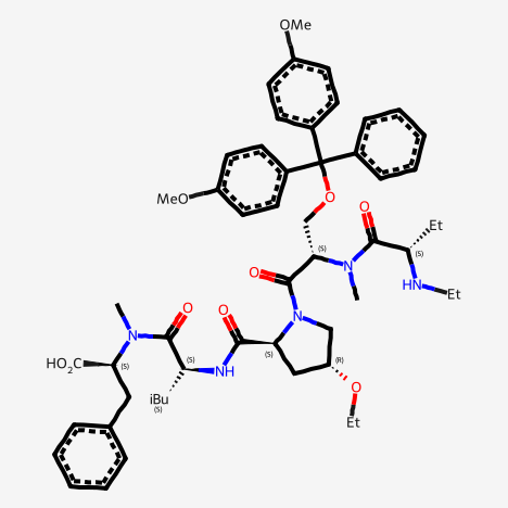 CCN[C@@H](CC)C(=O)N(C)[C@@H](COC(c1ccccc1)(c1ccc(OC)cc1)c1ccc(OC)cc1)C(=O)N1C[C@H](OCC)C[C@H]1C(=O)N[C@H](C(=O)N(C)[C@@H](Cc1ccccc1)C(=O)O)[C@@H](C)CC